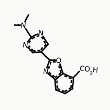 CN(C)c1ncc(-c2nc3cccc(C(=O)O)c3o2)cn1